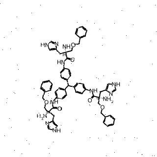 N[C@@](COCc1ccccc1)(Cc1c[nH]cn1)C(=O)Nc1ccc(C(c2ccc(NC(=O)[C@](N)(COCc3ccccc3)Cc3c[nH]cn3)cc2)c2ccc(NC(=O)[C@](N)(COCc3ccccc3)Cc3c[nH]cn3)cc2)cc1